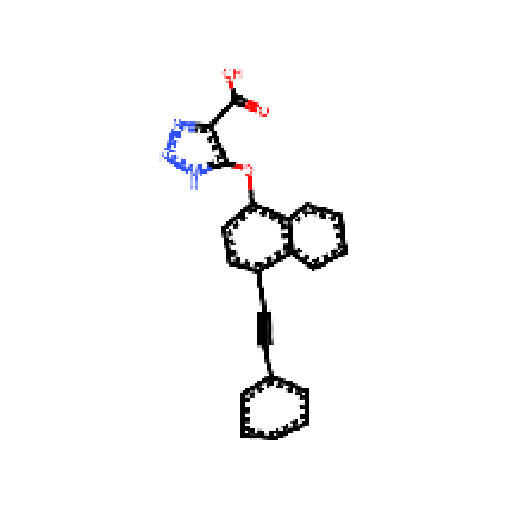 O=C(O)c1nn[nH]c1Oc1ccc(C#Cc2ccccc2)c2ccccc12